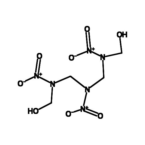 O=[N+]([O-])N(CO)CN(CN(CO)[N+](=O)[O-])[N+](=O)[O-]